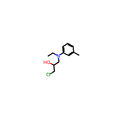 CCN(CC(O)CCl)c1cccc(C)c1